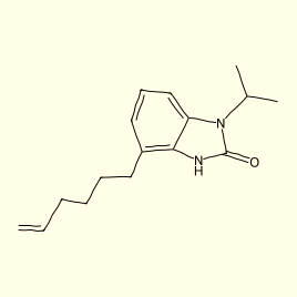 C=CCCCCc1cccc2c1[nH]c(=O)n2C(C)C